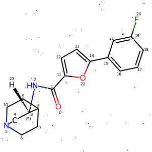 O=C(N[C@H]1CN2CCC1CC2)c1ccc(-c2cccc(F)c2)o1